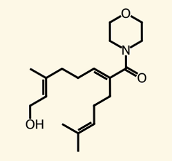 CC(C)=CCCC(=CCCC(C)=CCO)C(=O)N1CCOCC1